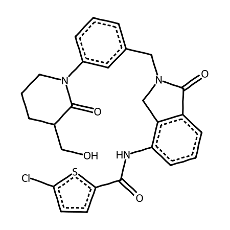 O=C(Nc1cccc2c1CN(Cc1cccc(N3CCCC(CO)C3=O)c1)C2=O)c1ccc(Cl)s1